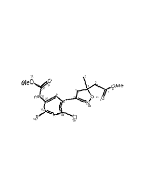 COC(=O)CC1(C)CC(c2cc(NC(=O)OC)c(F)cc2Cl)=NO1